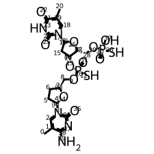 Cc1cn([C@H]2CC[C@@H](COP(=O)(S)O[C@@H]3C[C@H](n4cc(C)c(=O)[nH]c4=O)O[C@@H]3COP(=O)(O)S)O2)c(=O)nc1N